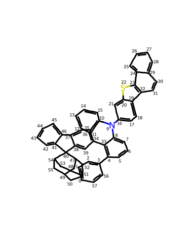 c1ccc(-c2cccc(N(c3ccccc3)c3ccc4c(c3)sc3c5ccccc5ccc43)c2-c2ccc3c(c2)C2(c4ccccc4-3)C3CC4CC(C3)CC2C4)cc1